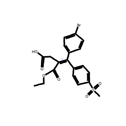 CCOC(=O)/C(CC(=O)O)=C(/c1ccc(Br)cc1)c1ccc(S(C)(=O)=O)cc1